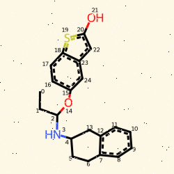 CCC(NC1CCc2ccccc2C1)Oc1ccc2sc(O)cc2c1